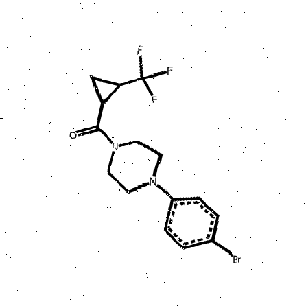 O=C(C1CC1C(F)(F)F)N1CCN(c2ccc(Br)cc2)CC1